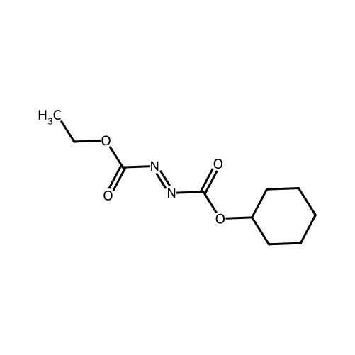 CCOC(=O)N=NC(=O)OC1CCCCC1